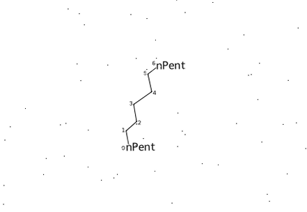 CCCCCC[CH]CCCCCCCC